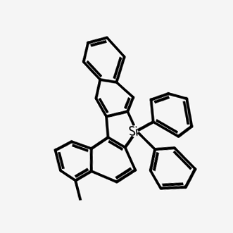 Cc1cccc2c3c(ccc12)[Si](c1ccccc1)(c1ccccc1)c1cc2ccccc2cc1-3